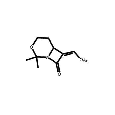 CC(=O)OC=C1C(=O)N2C1CCOC2(C)C